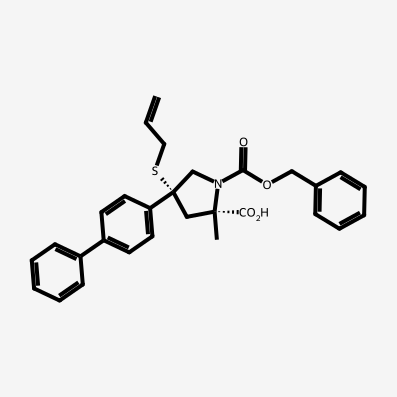 C=CCS[C@]1(c2ccc(-c3ccccc3)cc2)CN(C(=O)OCc2ccccc2)[C@](C)(C(=O)O)C1